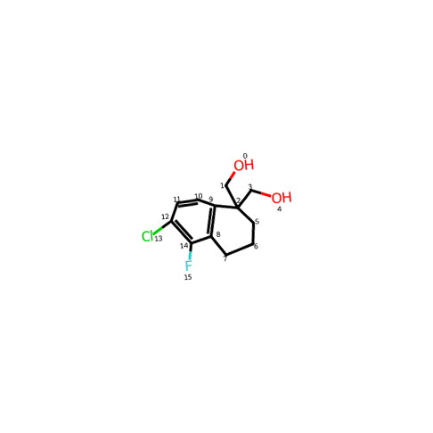 OCC1(CO)CCCc2c1ccc(Cl)c2F